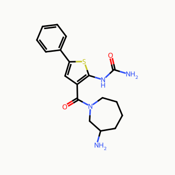 NC(=O)Nc1sc(-c2ccccc2)cc1C(=O)N1CCCCC(N)C1